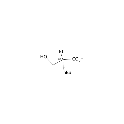 CCCC[C@@](CC)(CO)C(=O)O